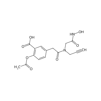 C#CCN(CC(=O)NO)C(=O)Cc1ccc(OC(C)=O)c(C(=O)O)c1